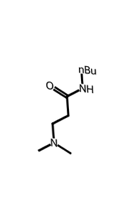 CCCCNC(=O)CCN(C)C